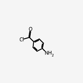 Nc1ccc(C(=O)Cl)cc1